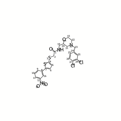 O=C(CSc1ccc(-c2cccc([N+](=O)[O-])c2)s1)NCC1CN(Cc2ccc(Cl)c(Cl)c2)CCO1